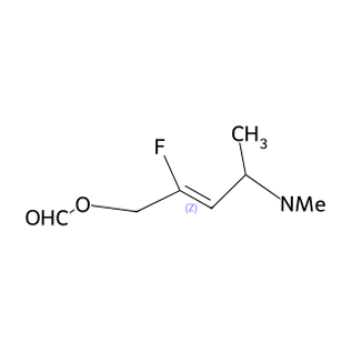 CNC(C)/C=C(\F)COC=O